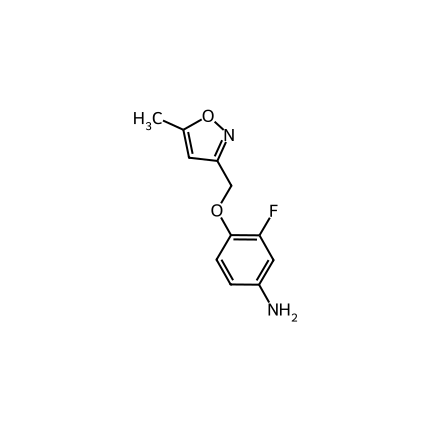 Cc1cc(COc2ccc(N)cc2F)no1